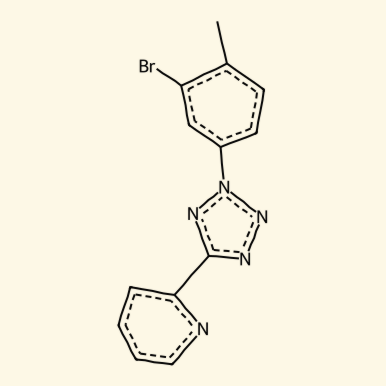 Cc1ccc(-n2nnc(-c3ccccn3)n2)cc1Br